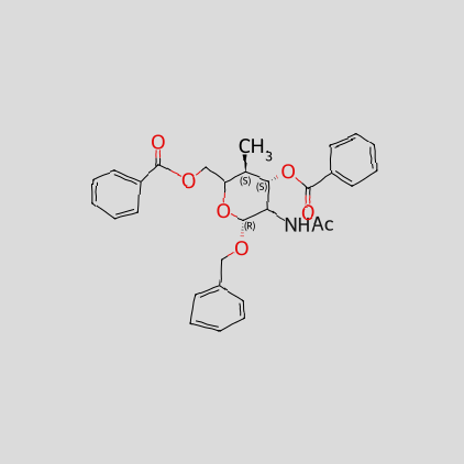 CC(=O)NC1[C@H](OCc2ccccc2)OC(COC(=O)c2ccccc2)[C@@H](C)[C@@H]1OC(=O)c1ccccc1